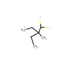 CCC(C)(CC)C(F)F